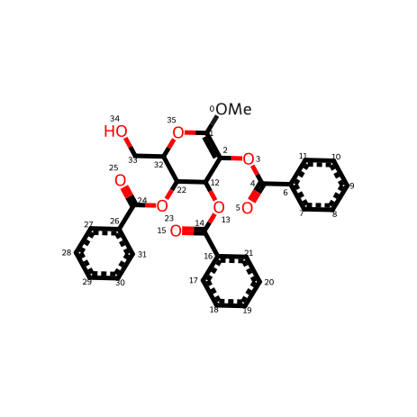 COC1=C(OC(=O)c2ccccc2)C(OC(=O)c2ccccc2)C(OC(=O)c2ccccc2)C(CO)O1